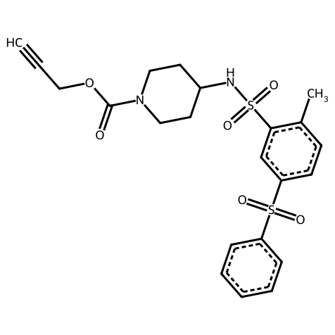 C#CCOC(=O)N1CCC(NS(=O)(=O)c2cc(S(=O)(=O)c3ccccc3)ccc2C)CC1